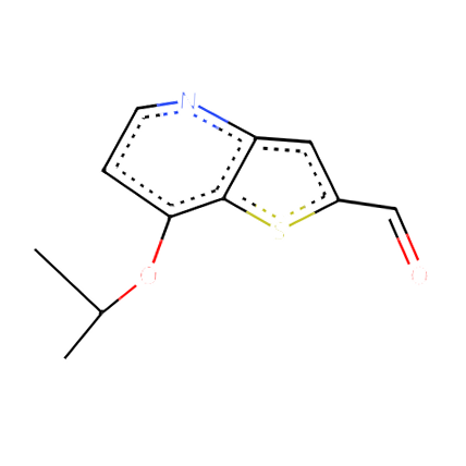 CC(C)Oc1ccnc2cc(C=O)sc12